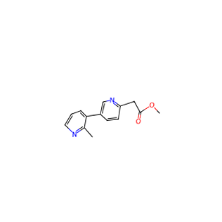 COC(=O)Cc1ccc(-c2cccnc2C)cn1